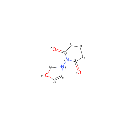 O=C1CCCC(=O)N1N1C=COC1